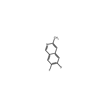 Cc1cc2cc(F)c(F)cc2cn1